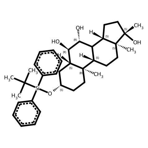 CC(C)(C)[Si](O[C@H]1CC[C@@]2(C)[C@H](C1)[C@@H](O)[C@H](O)C1[C@@H]2CC[C@@]2(C)[C@H]1CC[C@]2(C)O)(c1ccccc1)c1ccccc1